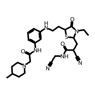 CCN1C(=O)C(CCNc2cccc(NC(=O)CN3CCC(C)CC3)c2)SC1CC(C#N)C(=O)NCC#N